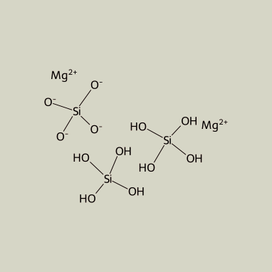 O[Si](O)(O)O.O[Si](O)(O)O.[Mg+2].[Mg+2].[O-][Si]([O-])([O-])[O-]